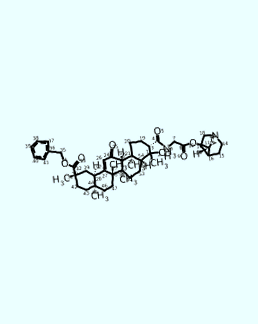 CC1(C)[C@@H](C(=O)NCC(=O)O[C@@H]2CN3CCC2CC3)CC[C@]2(C)[C@H]3C(=O)C=C4[C@@H]5C[C@@](C)(C(=O)OCc6ccccc6)CC[C@]5(C)CC[C@@]4(C)[C@]3(C)CC[C@@H]12